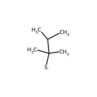 CC(C)C(C)(C)[S]